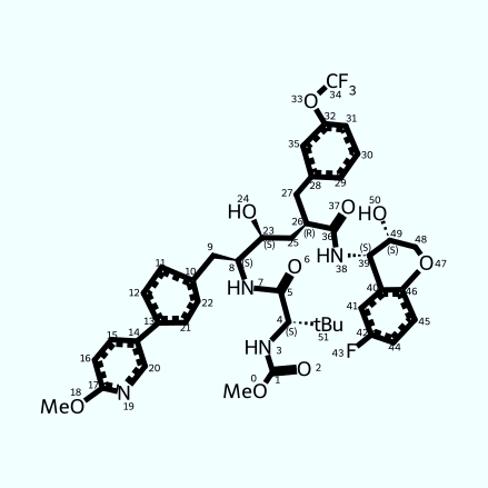 COC(=O)N[C@H](C(=O)N[C@@H](Cc1ccc(-c2ccc(OC)nc2)cc1)[C@@H](O)C[C@@H](Cc1cccc(OC(F)(F)F)c1)C(=O)N[C@H]1c2cc(F)ccc2OC[C@H]1O)C(C)(C)C